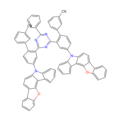 N#Cc1cccc(-c2ccc(-n3c4ccccc4c4c5oc6ccccc6c5ccc43)cc2-c2nc(-c3ccccc3)nc(-c3cc(-n4c5ccccc5c5c6oc7ccccc7c6ccc54)ccc3-c3cccc(C#N)c3)n2)c1